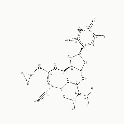 Cc1cn([C@H]2C[C@H](OP(OCCC#N)N(C(C)C)C(C)C)[C@@H](COC(=O)OC3CC3)O2)c(=O)[nH]c1=O